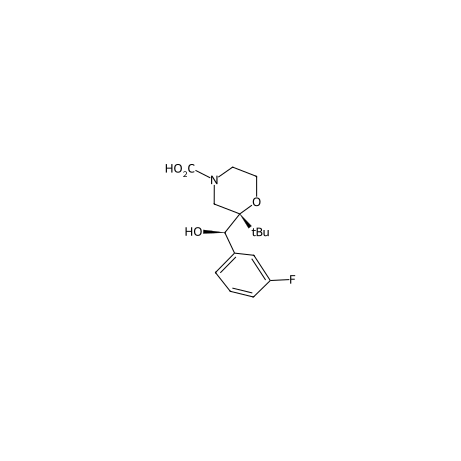 CC(C)(C)[C@@]1([C@H](O)c2cccc(F)c2)CN(C(=O)O)CCO1